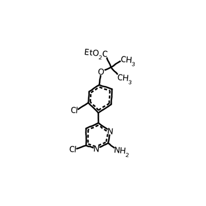 CCOC(=O)C(C)(C)Oc1ccc(-c2cc(Cl)nc(N)n2)c(Cl)c1